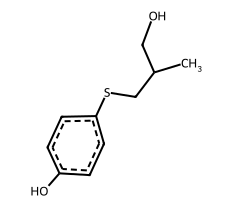 CC(CO)CSc1ccc(O)cc1